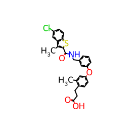 Cc1cc(Oc2cccc(CNC(=O)c3sc4ccc(Cl)cc4c3C)c2)ccc1CCC(=O)O